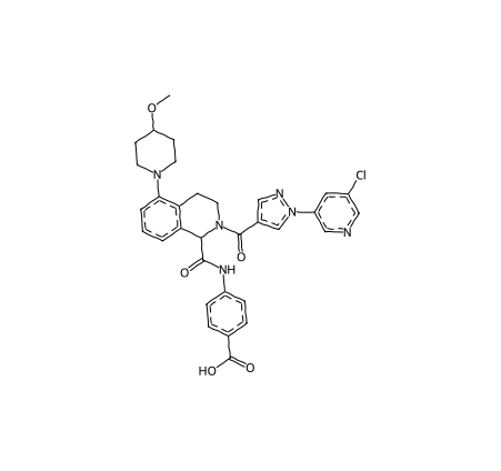 COC1CCN(c2cccc3c2CCN(C(=O)c2cnn(-c4cncc(Cl)c4)c2)C3C(=O)Nc2ccc(C(=O)O)cc2)CC1